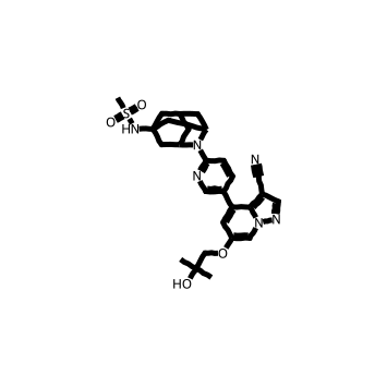 CC(C)(O)COc1cc(-c2ccc(N3C4CC5CC3CC(NS(C)(=O)=O)(C5)C4)nc2)c2c(C#N)cnn2c1